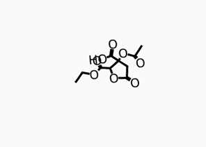 CCOC(=O)C1OC(=O)CC1(OC(C)=O)C(=O)O